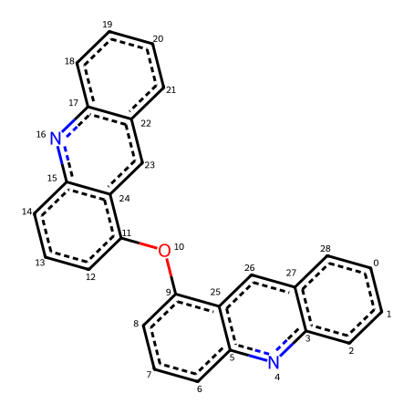 c1ccc2nc3cccc(Oc4cccc5nc6ccccc6cc45)c3cc2c1